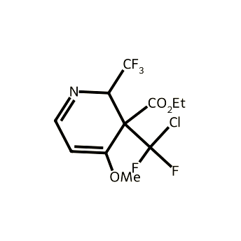 CCOC(=O)C1(C(F)(F)Cl)C(OC)=CC=NC1C(F)(F)F